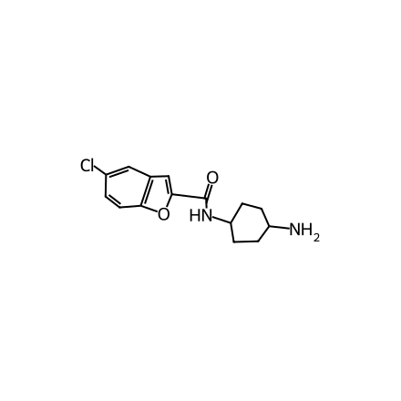 NC1CCC(NC(=O)c2cc3cc(Cl)ccc3o2)CC1